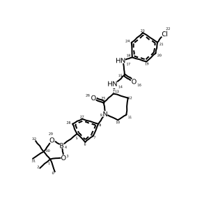 CC1(C)OB(c2ccc(N3CCC[C@@H](NC(=O)Nc4ccc(Cl)cc4)C3=O)cc2)OC1(C)C